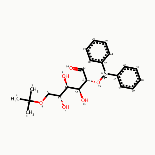 CC(C)(C)OC[C@@H](O)[C@@H](O)[C@H](O)[C@H](C=O)O[SiH](c1ccccc1)c1ccccc1